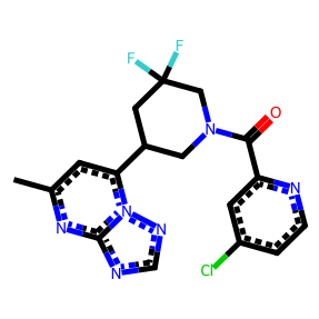 Cc1cc(C2CN(C(=O)c3cc(Cl)ccn3)CC(F)(F)C2)n2ncnc2n1